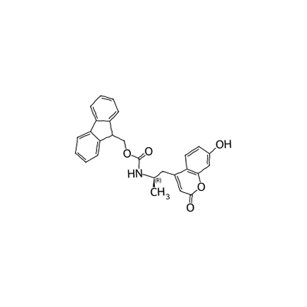 C[C@H](Cc1cc(=O)oc2cc(O)ccc12)NC(=O)OCC1c2ccccc2-c2ccccc21